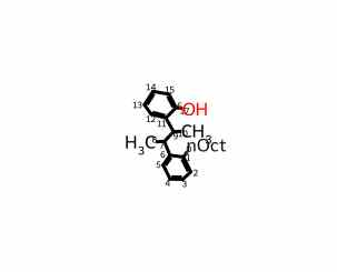 CCCCCCCCc1ccccc1C(C)C(C)c1ccccc1O